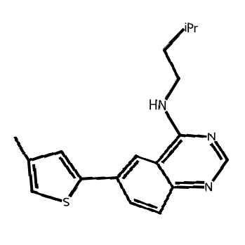 Cc1csc(-c2ccc3ncnc(NCCC(C)C)c3c2)c1